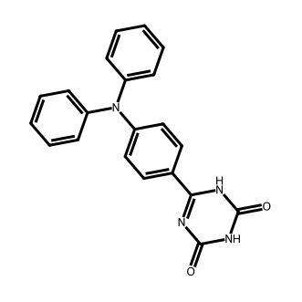 O=c1nc(-c2ccc(N(c3ccccc3)c3ccccc3)cc2)[nH]c(=O)[nH]1